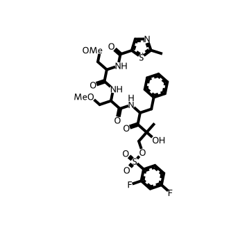 COCC(NC(=O)c1cnc(C)s1)C(=O)NC(COC)C(=O)NC(Cc1ccccc1)C(=O)C(C)(O)COS(=O)(=O)c1ccc(F)cc1F